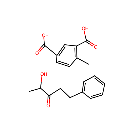 CC(O)C(=O)CCc1ccccc1.Cc1ccc(C(=O)O)cc1C(=O)O